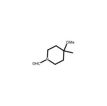 COC1(C)CCN(C=O)CC1